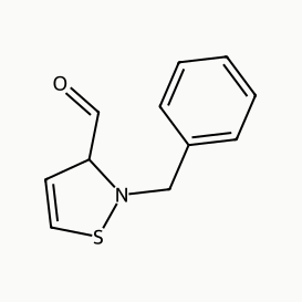 O=CC1C=CSN1Cc1ccccc1